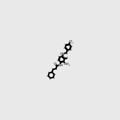 Nc1c(NC(=O)CCC2CCCCC2)ccc(NCc2ccc(C(F)(F)F)cc2)c1F